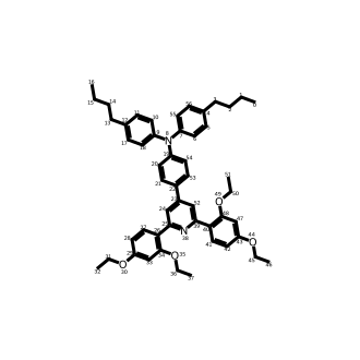 CCCCc1ccc(N(c2ccc(CCCC)cc2)c2ccc(-c3cc(-c4ccc(OCC)cc4OCC)nc(-c4ccc(OCC)cc4OCC)c3)cc2)cc1